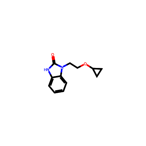 O=c1[nH]c2ccccc2n1CCOC1CC1